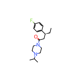 CC[C@@H](CC(=O)N1CCN(C(C)C)CC1)c1ccc(F)cc1